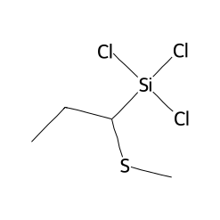 CCC(SC)[Si](Cl)(Cl)Cl